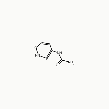 NC(=O)NC1=PNOC=C1